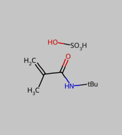 C=C(C)C(=O)NC(C)(C)C.O=S(=O)(O)O